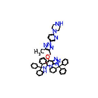 Cc1nn(-c2ccc(N3CCNCC3)nc2)nc1COc1cc(NC(c2ccccc2)(c2ccccc2)c2ccccc2)nc2c1nnn2C(c1ccccc1)(c1ccccc1)c1ccccc1